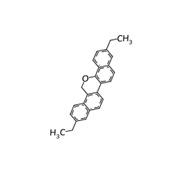 CCc1ccc2c3c(ccc2c1)-c1ccc2cc(CC)ccc2c1OC3